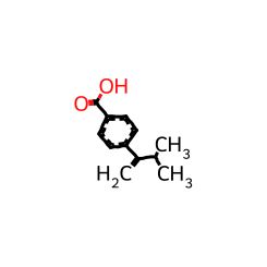 C=C(c1ccc(C(=O)O)cc1)C(C)C